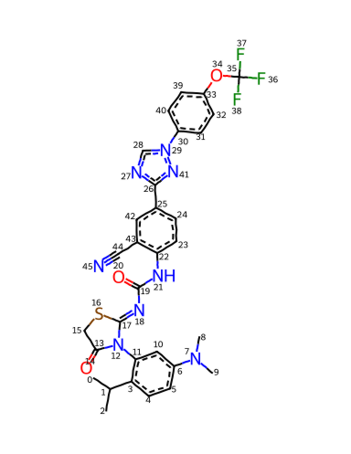 CC(C)c1ccc(N(C)C)cc1N1C(=O)CSC1=NC(=O)Nc1ccc(-c2ncn(-c3ccc(OC(F)(F)F)cc3)n2)cc1C#N